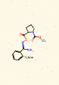 COc1ccccc1/C(N)=N/OC(=O)C1CCCN1C(=O)OC(C)(C)C